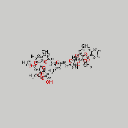 C=CC[C@@H]1O[C@@H]2C(O[C@@H]3CC(CCC4CC(=C)C(CCC5CC(C)C(=C)C(C[C@@H]6O[C@H](CC(O)CO)[C@H](OC)C6CC(=O)OC)O5)O4)OC23)C(OC)C1OC(=O)c1ccccc1